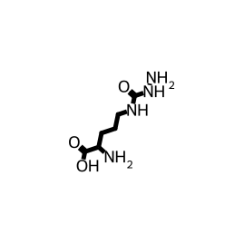 NNC(=O)NCCCC(N)C(=O)O